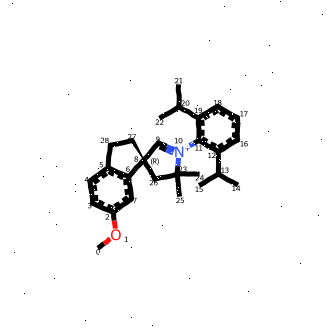 COc1ccc2c(c1)[C@@]1(C=[N+](c3c(C(C)C)cccc3C(C)C)C(C)(C)C1)CC2